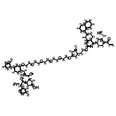 C=CC(=O)N1CCN(c2nc(OCCC3C[C@@H](OCCOCCOCCOCCOCCOc4cc(-c5scnc5C)ccc4CNC(=O)[C@@H]4C[C@@H](O)CN4C(=O)[C@H](c4cc(C)no4)C(C)C)CN3C)nc3c2CCN(c2cccc4ccccc24)C3)C[C@@H]1CC#N